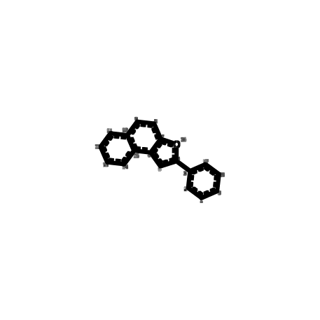 c1ccc(-c2cc3c(ccc4ccccc43)o2)cc1